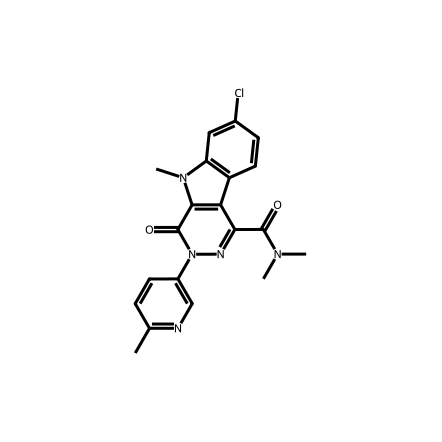 Cc1ccc(-n2nc(C(=O)N(C)C)c3c4ccc(Cl)cc4n(C)c3c2=O)cn1